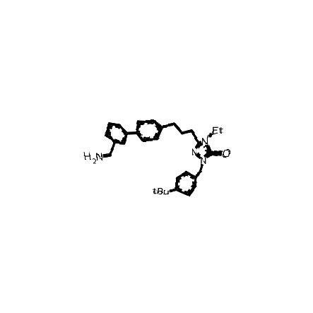 CCn1c(CCCc2ccc(-c3cccc(CN)c3)cc2)nn(Cc2ccc(C(C)(C)C)cc2)c1=O